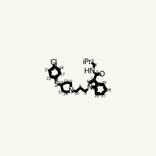 CC(C)CNC(=O)c1cn(CCCN2CCC(Sc3ccc(Cl)cc3)CC2)c2ccccc12